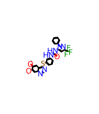 COc1cc2ncnc(Sc3cccc(NC(=O)Nc4cc(C(F)(F)F)nn4-c4ccccc4)c3)c2cc1OC